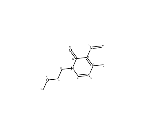 C=Nc1c(C)ncn(CCOC)c1=O